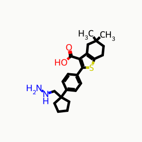 CC1(C)CCc2sc(-c3ccc(C4(CNN)CCCC4)cc3)c(C(=O)O)c2C1